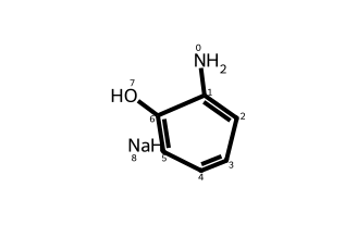 Nc1ccccc1O.[NaH]